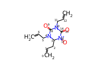 C=CCC1N(CC=C)C(=O)N(CC=C)C(=O)[N+]1=O